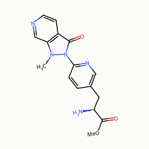 COC(=O)[C@@H](N)Cc1ccc(-n2c(=O)c3ccncc3n2C)nc1